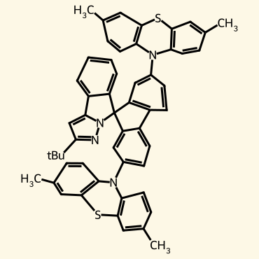 Cc1ccc2c(c1)Sc1cc(C)ccc1N2c1ccc2c(c1)C1(c3cc(N4c5ccc(C)cc5Sc5cc(C)ccc54)ccc3-2)c2ccccc2-c2cc(C(C)(C)C)nn21